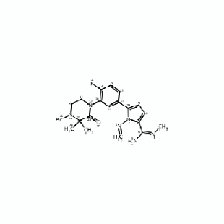 C=Nn1c(/C(N)=N\C)ccc1-c1ccc(F)c(N2CCN(C(C)=O)C(C)(C)C2=O)c1